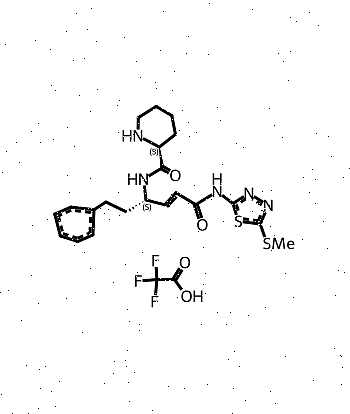 CSc1nnc(NC(=O)C=C[C@H](CCc2ccccc2)NC(=O)[C@@H]2CCCCN2)s1.O=C(O)C(F)(F)F